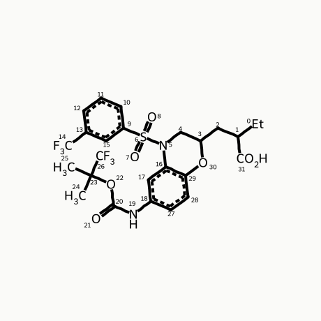 CCC(CC1CN(S(=O)(=O)c2cccc(C(F)(F)F)c2)c2cc(NC(=O)OC(C)(C)C(F)(F)F)ccc2O1)C(=O)O